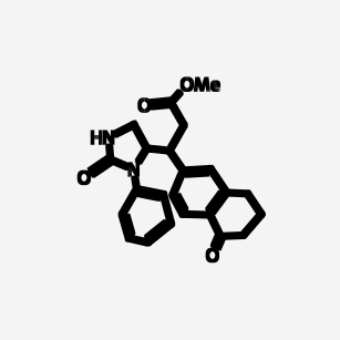 COC(=O)CC(c1ccc2c(c1)CCCC2=O)C1CNC(=O)N1c1ccccc1